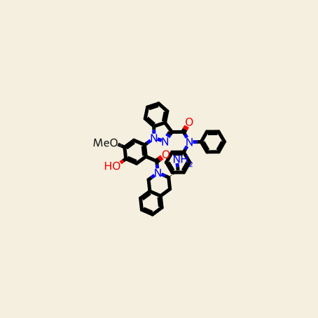 COc1cc(-n2nc(C(=O)N(c3ccccc3)c3ccccc3)c3ccccc32)c(C(=O)N2Cc3ccccc3C[C@H]2CN)cc1O